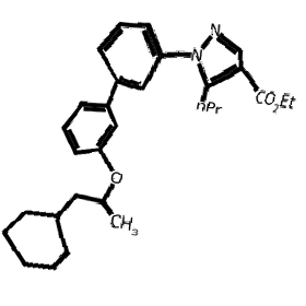 CCCc1c(C(=O)OCC)cnn1-c1cccc(-c2cccc(OC(C)CC3CCCCC3)c2)c1